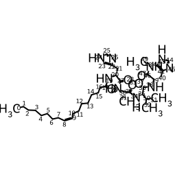 CCCCCCCC/C=C\CCCCCCCC(=O)N[C@@H](Cc1c[nH]cn1)C(=O)N[C@@H](C)C(=O)N[C@H](C(=O)N[C@@H](Cc1c[nH]cn1)C(=O)NC)C(C)C